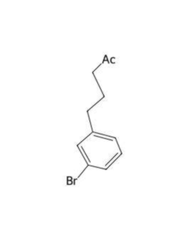 CC(=O)CCCc1cccc(Br)c1